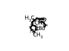 CN1CCC(CC(C)(C)Cc2coc(CC(C)(C)C)n2)CC1